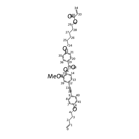 C=CCCCOc1ccc(C#Cc2ccc(OC(=O)c3ccc(OCCCCCCOC(=O)C=C)cc3)c(OC)c2)cc1